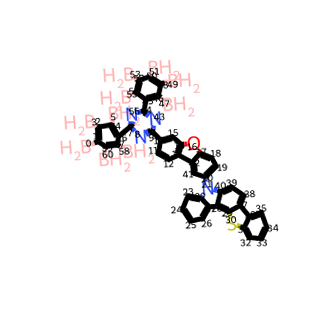 Bc1c(B)c(B)c(-c2nc(-c3ccc4c(c3)oc3ccc(-n5c6ccccc6c6c7sc8ccccc8c7ccc65)cc34)nc(-c3c(B)c(B)c(B)c(B)c3B)n2)c(B)c1B